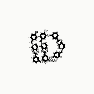 Brc1ccc(Cn2ccc3nc(-c4cccc(Br)c4)nc-3c2)cc1.COc1cccc(-c2nc3ccn(Cc4ccc(Br)cc4)cc-3n2)c1.Cc1cccc(-c2nc3ccn(Cc4ccc(Br)cc4)cc-3n2)c1